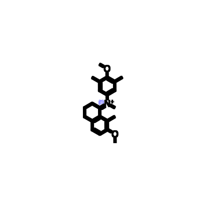 COc1ccc2c(c1C)/C(=[N+](\C)c1cc(C)c(OC)c(C)c1)CCC2